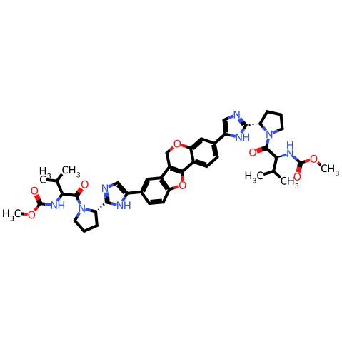 COC(=O)NC(C(=O)N1CCC[C@H]1c1ncc(-c2ccc3oc4c(c3c2)COc2cc(-c3cnc([C@@H]5CCCN5C(=O)[C@@H](NC(=O)OC)C(C)C)[nH]3)ccc2-4)[nH]1)C(C)C